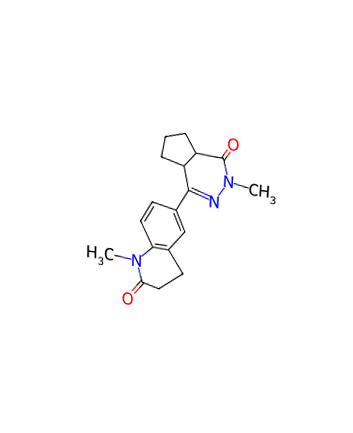 CN1N=C(c2ccc3c(c2)CCC(=O)N3C)C2CCCC2C1=O